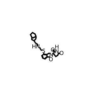 O=C1CCC(N2Cc3c(SCCNCCC4CC5CCCC(C5)C4)cccc3C2=O)C(=O)N1